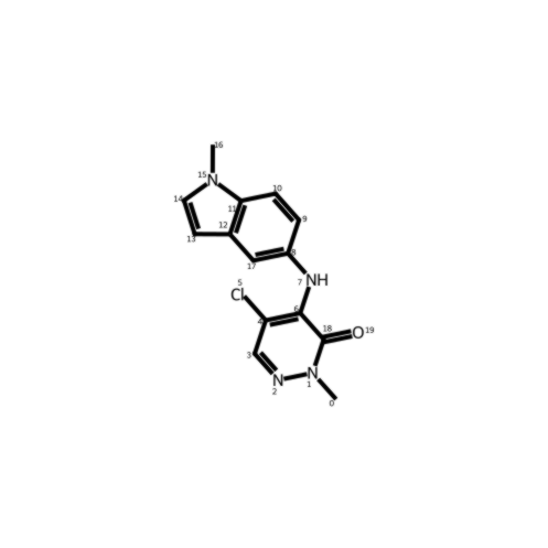 Cn1ncc(Cl)c(Nc2ccc3c(ccn3C)c2)c1=O